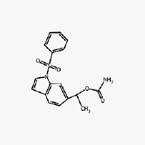 CC(OC(N)=O)c1ccc2ccn(S(=O)(=O)c3ccccc3)c2c1